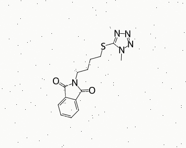 Cn1nnnc1SCCCCN1C(=O)c2ccccc2C1=O